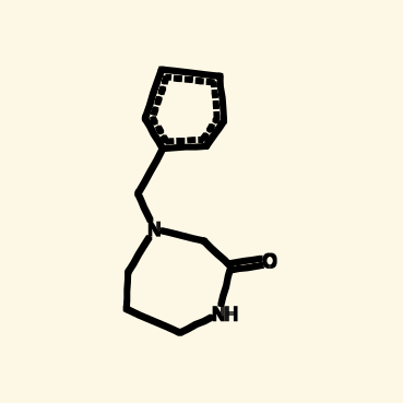 O=C1CN(Cc2ccccc2)CCCN1